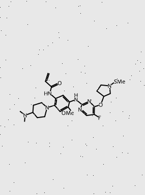 C=CC(=O)Nc1cc(Nc2ncc(F)c(OC3CCN(SC)C3)n2)c(OC)cc1N1CCC(N(C)C)CC1